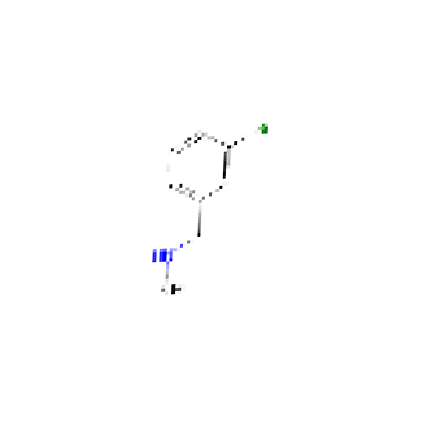 [CH]NCc1cccc(Br)c1